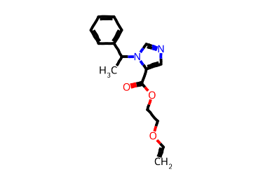 C=COCCOC(=O)c1cncn1C(C)c1ccccc1